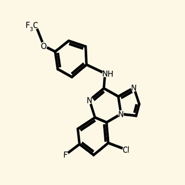 Fc1cc(Cl)c2c(c1)nc(Nc1ccc(OC(F)(F)F)cc1)c1nccn12